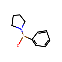 [O-][S+](c1ccccc1)N1CCCC1